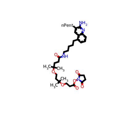 CCCCCc1cc2c(CCCCCNC(=O)CCC(C)(C)OCCC(C)(C)OCCC(=O)ON3C(=O)CCC3=O)cccc2nc1N